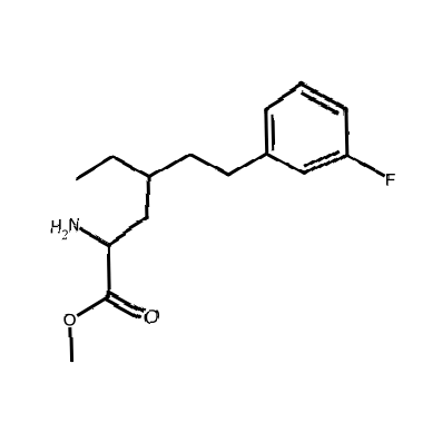 CCC(CCc1cccc(F)c1)CC(N)C(=O)OC